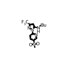 CCC(C)Nc1cc(C(F)(F)F)nn1-c1ccc(S(C)(=O)=O)cn1